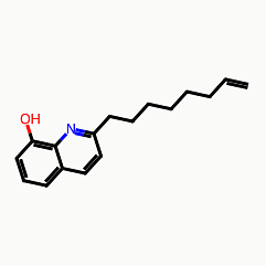 C=CCCCCCCc1ccc2cccc(O)c2n1